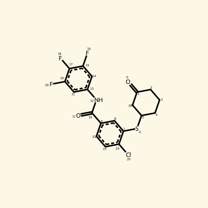 O=C1CCCC(Sc2cc(C(=O)Nc3cc(F)c(F)c(F)c3)ccc2Cl)C1